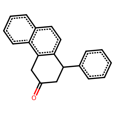 O=C1Cc2c(ccc3ccccc23)C(c2ccccc2)C1